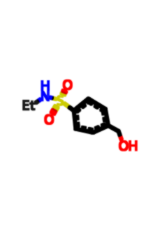 CCNS(=O)(=O)c1ccc(CO)cc1